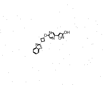 Oc1cc(-c2cnc(O[C@H]3C[C@@H](c4nc5ccccc5s4)C3)cn2)on1